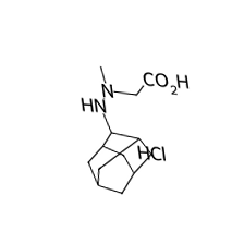 CN(CC(=O)O)NC1C2CC3CC(C2)CC1C3.Cl